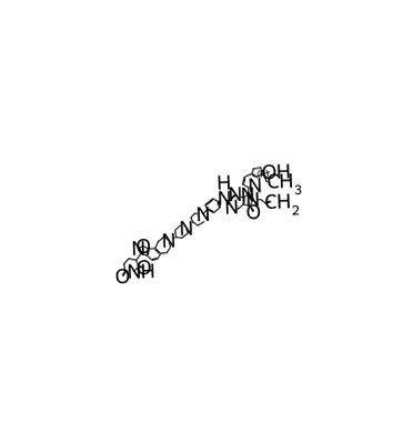 C=CCn1c(=O)c2cnc(Nc3ccc(N4CCC(N5CCC(N6CCc7ccc8c(C9CCC(=O)NC9=O)noc8c7CC6)CC5)CC4)cc3)nc2n1-c1ccc2c(n1)[C@@](O)(CC)CC2